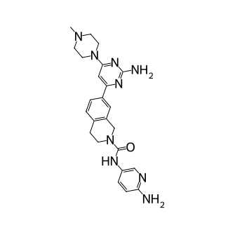 CN1CCN(c2cc(-c3ccc4c(c3)CN(C(=O)Nc3ccc(N)nc3)CC4)nc(N)n2)CC1